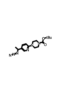 CC(N=[N+]=[N-])c1ccc(N2CCN(C(=O)OC(C)(C)C)CC2)nc1